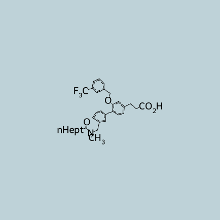 CCCCCCCC(=O)N(C)Cc1cccc(-c2ccc(CCC(=O)O)cc2OCc2cccc(C(F)(F)F)c2)c1